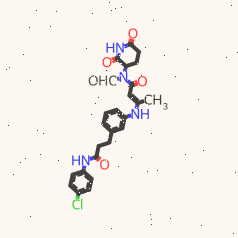 C/C(=C\C(=O)N(C=O)C1CCC(=O)NC1=O)Nc1cccc(CCC(=O)Nc2ccc(Cl)cc2)c1